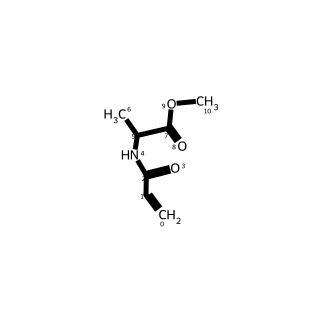 C=CC(=O)NC(C)C(=O)OC